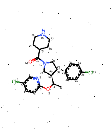 CC(Oc1ccc(Cl)cn1)[C@H]1CN(C(=O)C2CCNCC2)C[C@@H]1c1ccc(Cl)cc1